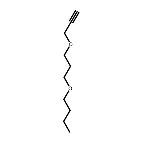 C#CCOCCCOCCCC